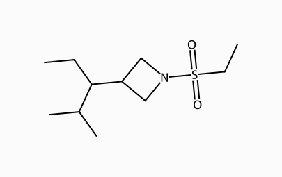 CCC(C(C)C)C1CN(S(=O)(=O)CC)C1